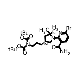 CC(C)(C)OC(=O)N(CCC[C@@H]1CN(c2nc(Br)ccc2C(N)=O)C(C)(C)C1)C(=O)OC(C)(C)C